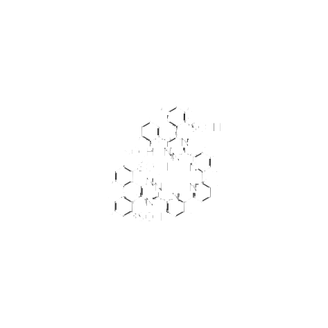 O=S(=O)(O)c1ccccc1-c1nnc(-c2cccc(-c3cccc(-c4cccc(-c5nnc(-c6ccccc6S(=O)(=O)O)c(-c6ccccc6S(=O)(=O)O)n5)n4)n3)n2)nc1-c1ccccc1S(=O)(=O)O